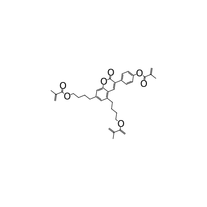 C=C(C)C(=C)OCCCCc1cc(CCCCOC(=O)C(=C)C)cc2oc(=O)c(-c3ccc(OC(=O)C(=C)C)cc3)cc12